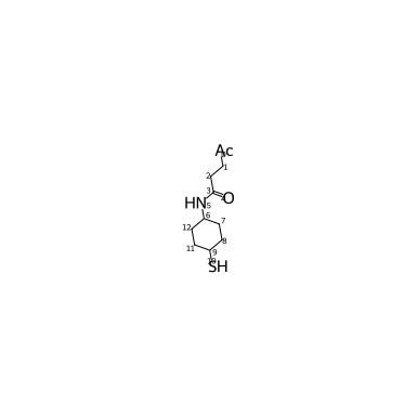 CC(=O)CCC(=O)NC1CCC(S)CC1